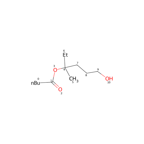 CCCCC(=O)OC(C)(CC)CCCO